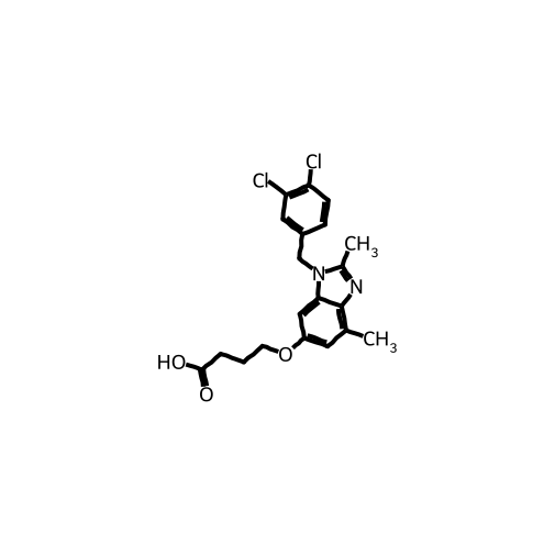 Cc1cc(OCCCC(=O)O)cc2c1nc(C)n2Cc1ccc(Cl)c(Cl)c1